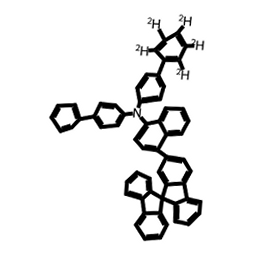 [2H]c1c([2H])c([2H])c(-c2ccc(N(c3ccc(-c4ccccc4)cc3)c3ccc(-c4ccc5c(c4)C4(c6ccccc6-c6ccccc64)c4ccccc4-5)c4ccccc34)cc2)c([2H])c1[2H]